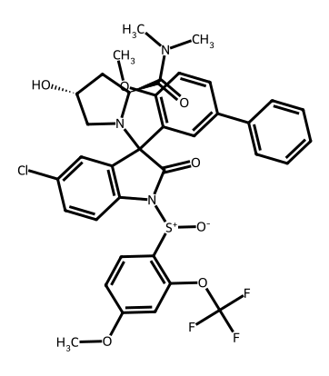 COc1ccc([S+]([O-])N2C(=O)C(c3cc(-c4ccccc4)ccc3OC)(N3C[C@H](O)C[C@H]3C(=O)N(C)C)c3cc(Cl)ccc32)c(OC(F)(F)F)c1